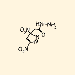 NNC(=O)CC1([N+](=O)[O-])C=C([N+](=O)[O-])N=N1